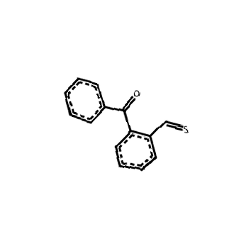 O=C(c1ccccc1)c1ccccc1C=S